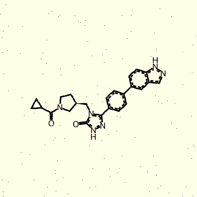 O=C(C1CC1)N1CC[C@@H](Cn2c(-c3ccc(-c4ccc5[nH]ncc5c4)cc3)n[nH]c2=O)C1